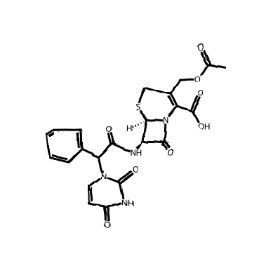 CC(=O)OCC1=C(C(=O)O)N2C(=O)[C@@H](NC(=O)C(c3ccccc3)n3ccc(=O)[nH]c3=O)[C@H]2SC1